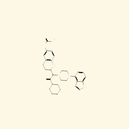 CC(C)(C)OC(=O)Oc1ccc2c(c1)CCC(C(C(=O)C1CCCCC1)N1CCN(c3cccc4[nH]ccc34)CC1)N2